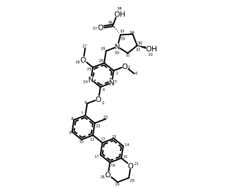 COc1nc(OCc2cccc(-c3ccc4c(c3)OCCO4)c2C)nc(OC)c1CN1C[C@H](O)C[C@H]1C(=O)O